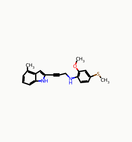 COc1cc(SC)ccc1NCC#Cc1cc2c(C)cccc2[nH]1